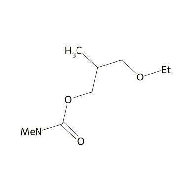 CCOCC(C)COC(=O)NC